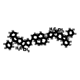 CC1(C)c2ccc(-c3ccc4ccc5c(-c6ccc7c(c6)-c6cc8c9ccccc9n(-c9ccccc9)c8cc6C7(C)C)ccc6ccc3c4c65)cc2-c2cc3c4ccccc4n(-c4ccccc4)c3cc21